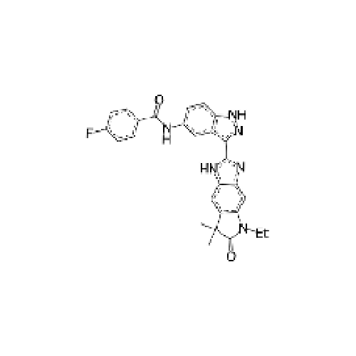 CCN1C(=O)C(C)(C)c2cc3[nH]c(-c4n[nH]c5ccc(NC(=O)c6ccc(F)cc6)cc45)nc3cc21